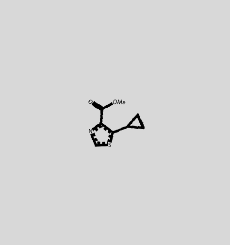 COC(=O)c1ncsc1C1CC1